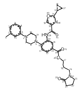 Cc1cccc(N2CCN(c3ccc(C(=O)OCCCN4CCCC4=O)cc3NC(=O)c3coc(C4CC4)n3)CC2)c1